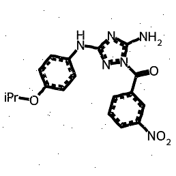 CC(C)Oc1ccc(Nc2nc(N)n(C(=O)c3cccc([N+](=O)[O-])c3)n2)cc1